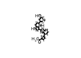 CC(=O)c1ccc(-c2ccnc3[nH]c(-c4n[nH]c5ccc(-c6cncc(O)c6)nc45)nc23)s1